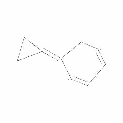 [C]1=CC=[C]C(=C2CC2)C1